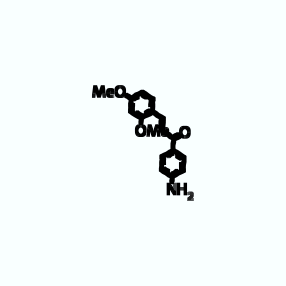 COc1ccc(C=CC(=O)c2ccc(N)cc2)c(OC)c1